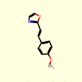 COc1ccc(C=Cc2ncco2)cc1